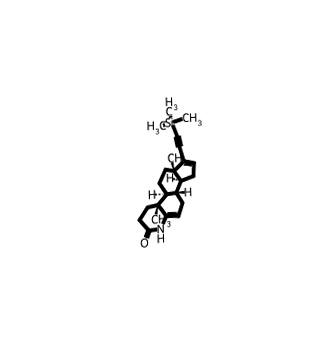 C[C@]12CCC(=O)NC1=CC[C@@H]1[C@@H]2CC[C@]2(C)C(C#C[Si](C)(C)C)=CC[C@@H]12